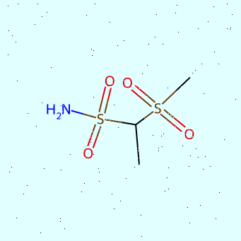 CC(S(C)(=O)=O)S(N)(=O)=O